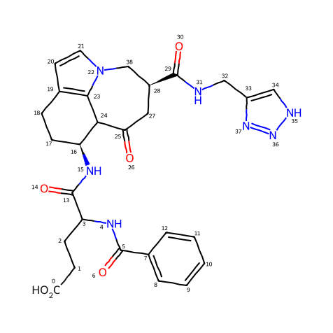 O=C(O)CCC(NC(=O)c1ccccc1)C(=O)N[C@H]1CCc2ccn3c2C1C(=O)C[C@H](C(=O)NCc1c[nH]nn1)C3